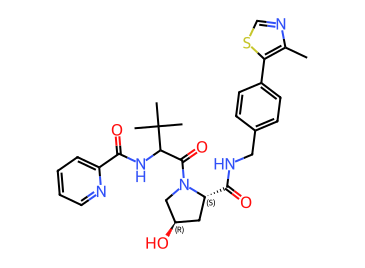 Cc1ncsc1-c1ccc(CNC(=O)[C@@H]2C[C@@H](O)CN2C(=O)C(NC(=O)c2ccccn2)C(C)(C)C)cc1